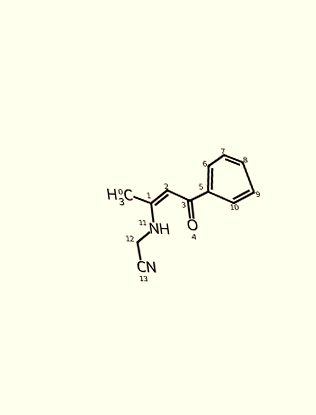 CC(=CC(=O)c1ccccc1)NCC#N